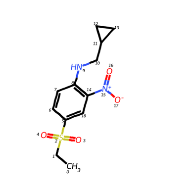 CCS(=O)(=O)c1ccc(NCC2CC2)c([N+](=O)[O-])c1